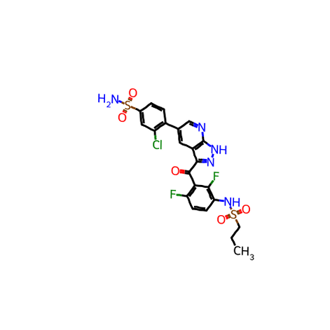 CCCS(=O)(=O)Nc1ccc(F)c(C(=O)c2n[nH]c3ncc(-c4ccc(S(N)(=O)=O)cc4Cl)cc23)c1F